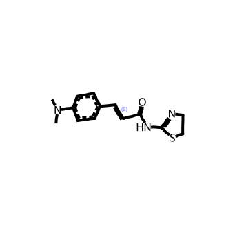 CN(C)c1ccc(/C=C/C(=O)NC2=NCCS2)cc1